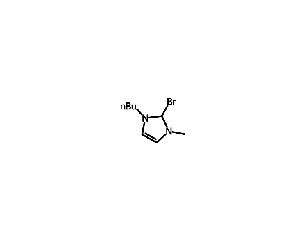 CCCCN1C=CN(C)C1Br